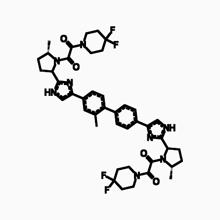 Cc1cc(-c2c[nH]c(C3CC[C@H](C)N3C(=O)C(=O)N3CCC(F)(F)CC3)n2)ccc1-c1ccc(-c2c[nH]c(C3CC[C@H](C)N3C(=O)C(=O)N3CCC(F)(F)CC3)n2)cc1